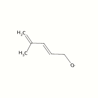 C=C(C)C=CC[O]